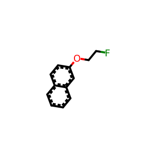 FCCOc1ccc2ccccc2c1